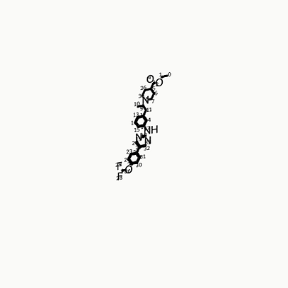 CCOC(=O)C1CCN(C(C)Cc2cccc(Nc3ncc(-c4ccc(OC(F)F)cc4)cn3)c2)CC1